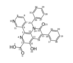 O=C(O)c1nc(-c2cccnc2)c2c(cc(-c3ccccc3)c(=O)n2Cc2ccccc2)c1O